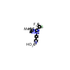 COCC1(CN(C)c2cc(-c3cc(F)cc(C(F)(F)F)c3)nc3nc(-c4ccc(C5CCN(CC(=O)O)CC5)cc4)[nH]c23)CCC1